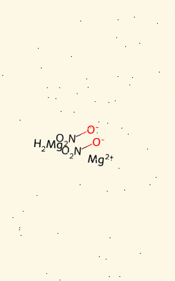 O=[N+]([O-])[O-].O=[N+]([O-])[O-].[Mg+2].[MgH2]